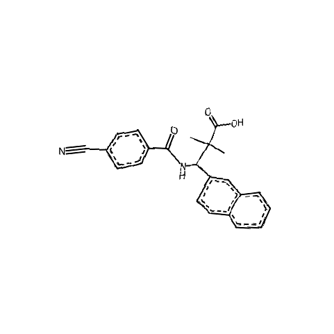 CC(C)(C(=O)O)C(NC(=O)c1ccc(C#N)cc1)c1ccc2ccccc2c1